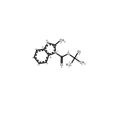 CCC(C)(C)OC(=O)n1c(C)nc2ccccc21